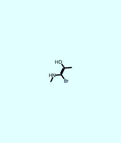 CN/C(Br)=C(/C)O